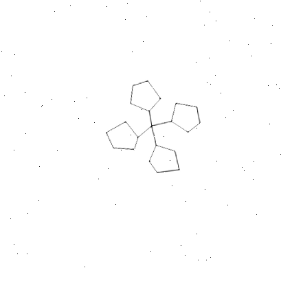 C1CCC(C(C2CCCC2)(C2CCCC2)C2CCCC2)C1